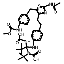 COC(=O)Nc1ccc(Cc2sc(NC(C)=O)nc2CCc2ccc(NC(NC(=O)O)(N(C(=O)O)C(C)(C)C)C(C)(C)C)cc2)cc1